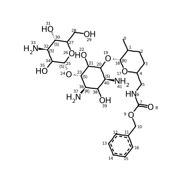 CC1CCC(CNC(=O)OCc2ccccc2)O[C@@H]1OC1C(O)[C@@H](O[C@H]2OC(CO)[C@@H](O)[C@H](N)C2O)[C@H](N)C(O)[C@@H]1N